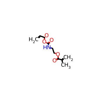 C=CC(=O)OC(=O)NCCOC(=O)C(=C)C